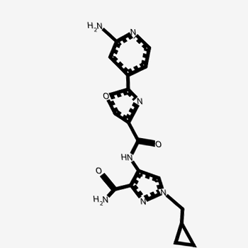 NC(=O)c1nn(CC2CC2)cc1NC(=O)c1coc(-c2ccnc(N)c2)n1